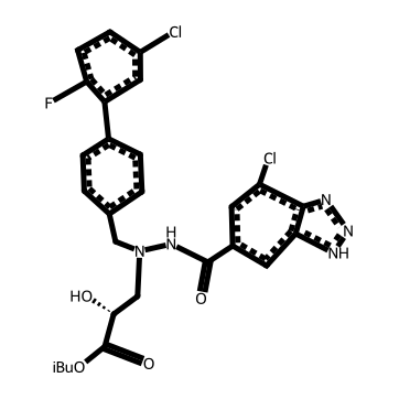 CC(C)COC(=O)[C@H](O)CN(Cc1ccc(-c2cc(Cl)ccc2F)cc1)NC(=O)c1cc(Cl)c2nn[nH]c2c1